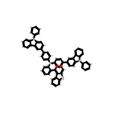 c1ccc(-n2c3ccccc3c3cc(-c4ccc(N(c5ccc(-c6ccc7c(c6)c6ccccc6n7-c6ccccc6)cc5)c5ccccc5-c5cccc6oc7ccccc7c56)cc4)ccc32)cc1